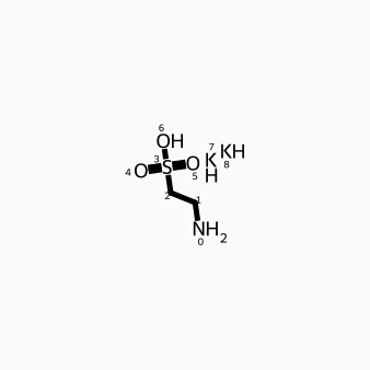 NCCS(=O)(=O)O.[KH].[KH]